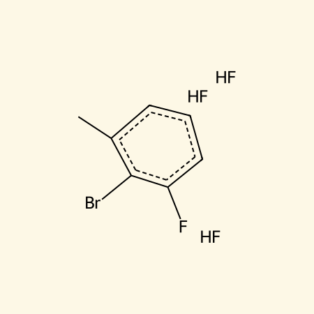 Cc1cccc(F)c1Br.F.F.F